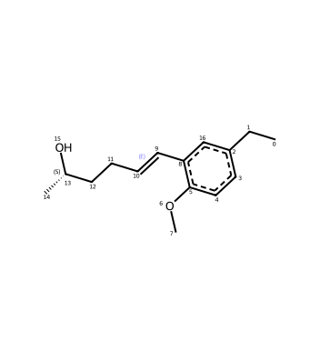 CCc1ccc(OC)c(/C=C/CC[C@H](C)O)c1